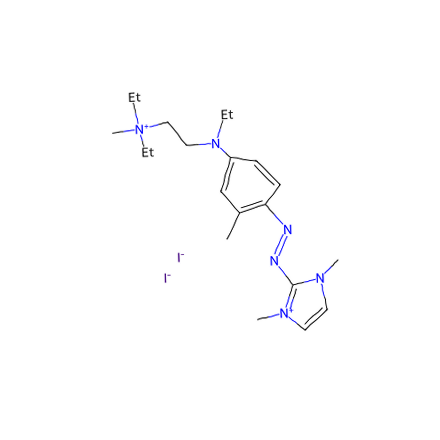 CCN(CC[N+](C)(CC)CC)c1ccc(N=Nc2n(C)cc[n+]2C)c(C)c1.[I-].[I-]